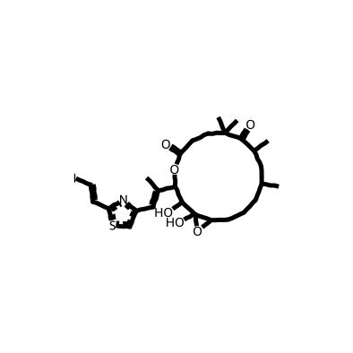 CC(=Cc1csc(C=CI)n1)C1OC(=O)CCC(C)(C)C(=O)C(C)CC(C)CCCC2OC2(O)C1O